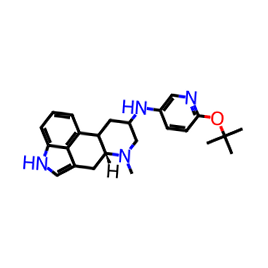 CN1CC(Nc2ccc(OC(C)(C)C)nc2)CC2c3cccc4[nH]cc(c34)C[C@H]21